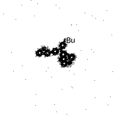 CC(C)(C)c1ccc(N(c2ccc(C3=CC4C(C=C3)c3ccccc3C4(C)C)cc2)C2C=c3c4n5c6c(cccc36)C(C)(C)c3cccc(c3-5)C(C)(C)C=4C2)cc1